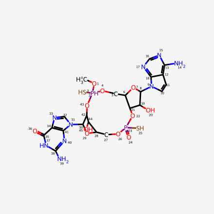 CO[PH]1(S)OCC2OC(n3ccc4c(N)ncnc43)C(O)C2OP(=O)(S)OCC2OC(n3cnc4c(=O)[nH]c(N)nc43)C(O1)C2O